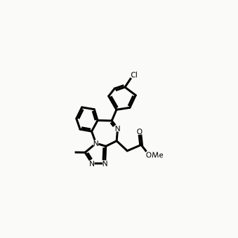 COC(=O)CC1N=C(c2ccc(Cl)cc2)c2ccccc2-n2c(C)nnc21